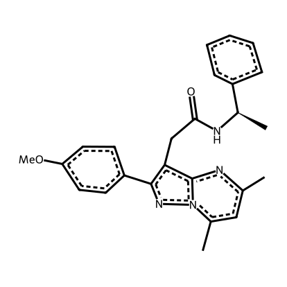 COc1ccc(-c2nn3c(C)cc(C)nc3c2CC(=O)N[C@H](C)c2ccccc2)cc1